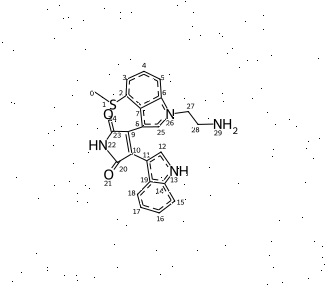 CSc1cccc2c1c(C1=C(c3c[nH]c4ccccc34)C(=O)NC1=O)cn2CCN